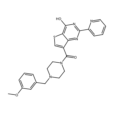 COc1cccc(CN2CCN(C(=O)c3csc4c(O)nc(-c5ccccn5)nc34)CC2)c1